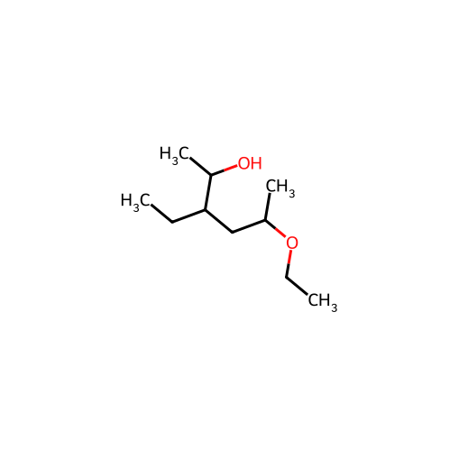 CCOC(C)CC(CC)C(C)O